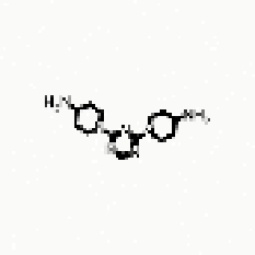 NC1CCN(c2ncnc(N3CCC(N)CC3)n2)CC1